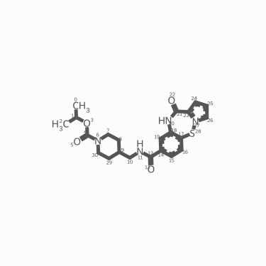 CC(C)OC(=O)N1CCC(CNC(=O)c2ccc3c(c2)NC(=O)c2cccn2S3)CC1